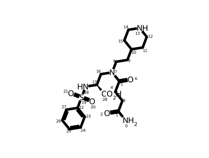 NC(=O)CCC(=O)N(CCC1CCNCC1)C[C@H](NS(=O)(=O)c1ccccc1)C(=O)O